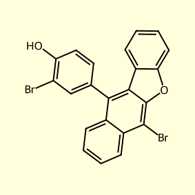 Oc1ccc(-c2c3ccccc3c(Br)c3oc4ccccc4c23)cc1Br